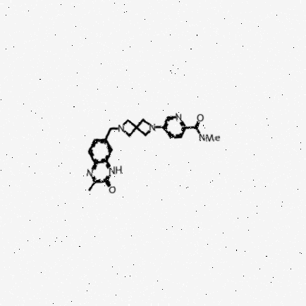 CNC(=O)c1ccc(N2CC3(CN(Cc4ccc5nc(C)c(=O)[nH]c5c4)C3)C2)cn1